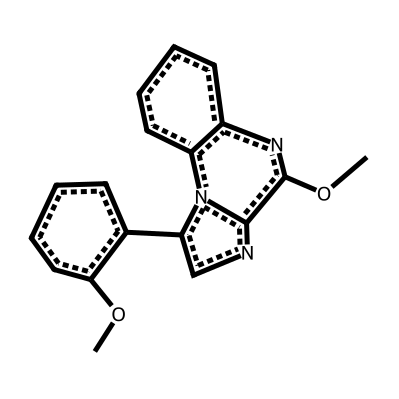 COc1ccccc1-c1cnc2c(OC)nc3ccccc3n12